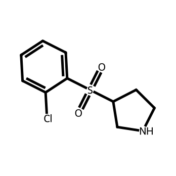 O=S(=O)(c1ccccc1Cl)C1CCNC1